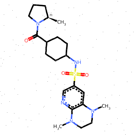 C[C@@H]1CCCN1C(=O)C1CCC(NS(=O)(=O)c2cnc3c(c2)N(C)CCN3C)CC1